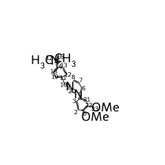 COc1ccc(N2CC=CN(Cc3ccc(N(C)C)cc3)C2)cc1OC